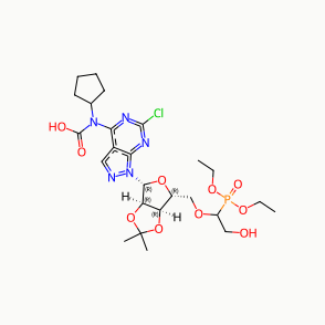 CCOP(=O)(OCC)C(CO)OC[C@H]1O[C@@H](n2ncc3c(N(C(=O)O)C4CCCC4)nc(Cl)nc32)[C@@H]2OC(C)(C)O[C@@H]21